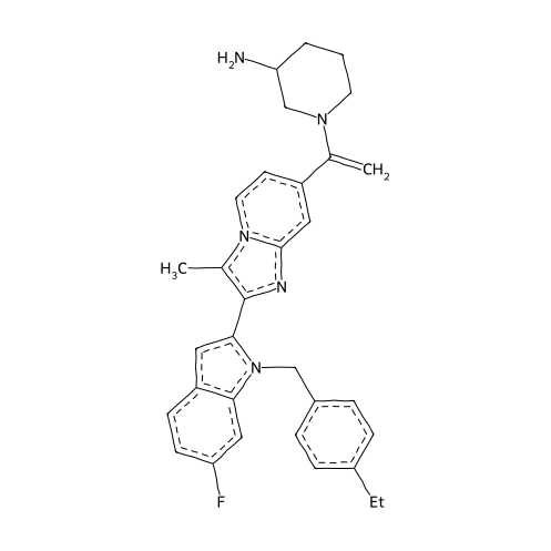 C=C(c1ccn2c(C)c(-c3cc4ccc(F)cc4n3Cc3ccc(CC)cc3)nc2c1)N1CCCC(N)C1